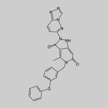 Cc1c2c(=O)n(-c3ccc4nncn4n3)[nH]c2cc(=O)n1Cc1cccc(Oc2ccccc2)c1